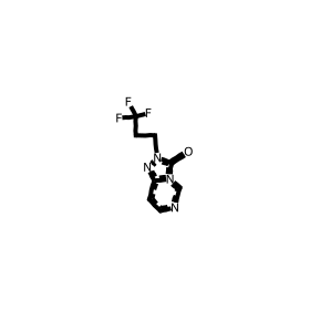 O=c1n(CCC(F)(F)F)nc2ccncn12